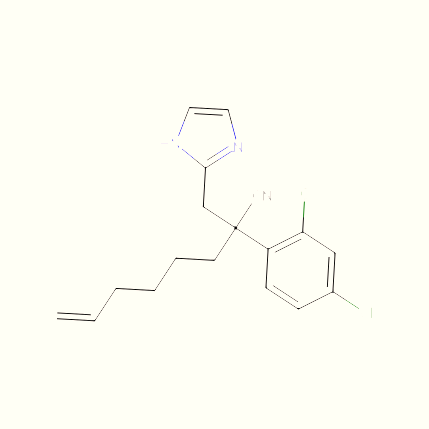 C=CCCCCC(C#N)(Cc1ncc[nH]1)c1ccc(Cl)cc1Cl